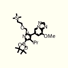 COc1cc(-c2c(C(C)C)c(B3OC(C)(C)C(C)(C)O3)nn2COCC[Si](C)(C)C)cn2ncnc12